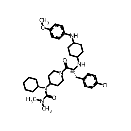 COc1ccc(NC2CCC(N[C@H](Cc3ccc(Cl)cc3)C(=O)N3CCC(N(C(=O)N(C)C)C4CCCCC4)CC3)CC2)cc1